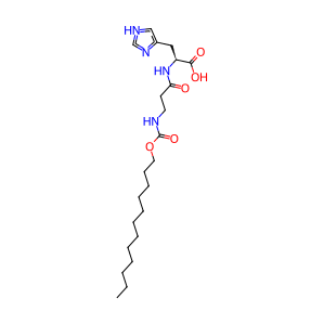 CCCCCCCCCCCCOC(=O)NCCC(=O)N[C@@H](Cc1c[nH]cn1)C(=O)O